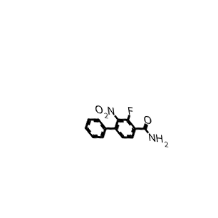 NC(=O)c1ccc(-c2ccccc2)c([N+](=O)[O-])c1F